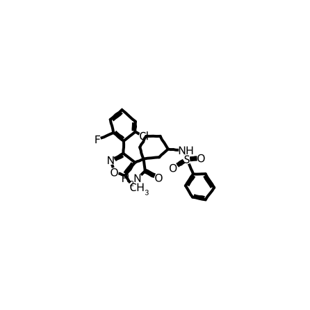 Cc1onc(-c2c(F)cccc2Cl)c1C1(C(N)=O)CCCC(NS(=O)(=O)c2ccccc2)C1